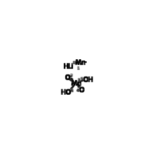 [LiH].[Mn].[O]=[Mn](=[O])([OH])[OH]